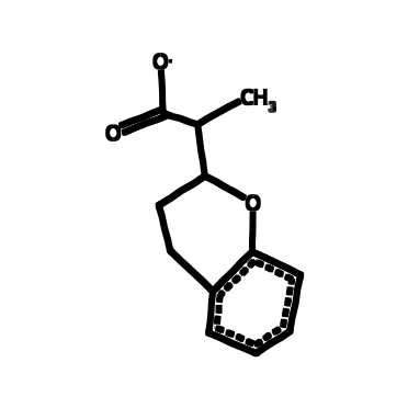 CC(C([O])=O)C1CCc2ccccc2O1